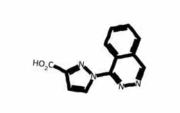 O=C(O)c1ccn(-c2nncc3ccccc23)n1